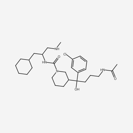 CNCC(CC1CCCCC1)NC(=O)N1CCCC(C(O)(CCCNC(C)=O)c2cccc(Cl)c2)C1